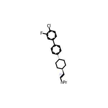 CCC/C=C/[C@H]1CC[C@H](c2ccc(-c3ccc(Cl)c(F)c3)cc2)CC1